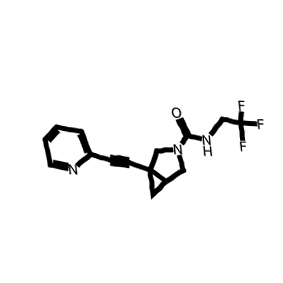 O=C(NCC(F)(F)F)N1CC2CC2(C#Cc2ccccn2)C1